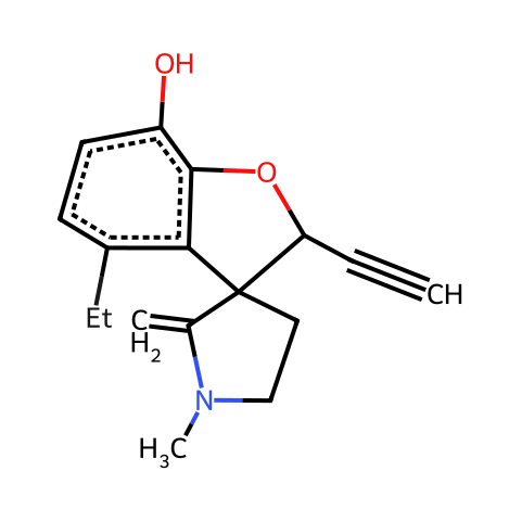 C#CC1Oc2c(O)ccc(CC)c2C12CCN(C)C2=C